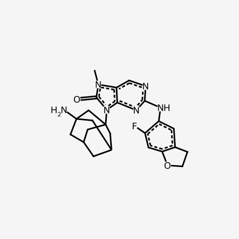 Cn1c(=O)n(C23CC4CC(CC(N)(C4)C2)C3)c2nc(Nc3cc4c(cc3F)OCC4)ncc21